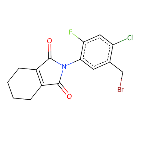 O=C1C2=C(CCCC2)C(=O)N1c1cc(CBr)c(Cl)cc1F